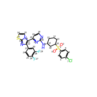 O=S(=O)(c1ccc(Cl)cc1)C1CCC[C@@H](Nc2nccc(-c3c(-c4ccc(F)c(F)c4)nc4sccn34)n2)C1